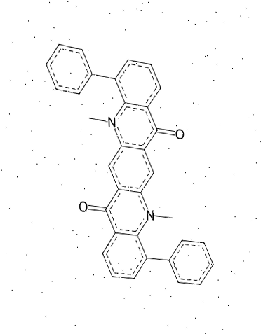 Cn1c2cc3c(=O)c4cccc(-c5ccccc5)c4n(C)c3cc2c(=O)c2cccc(-c3ccccc3)c21